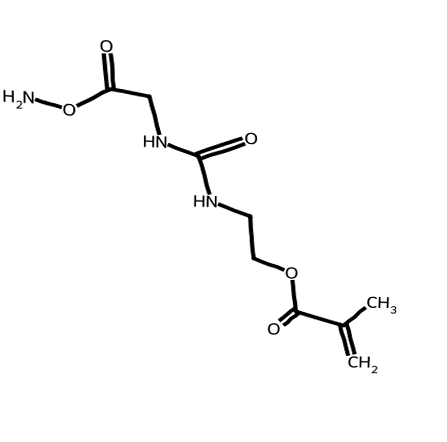 C=C(C)C(=O)OCCNC(=O)NCC(=O)ON